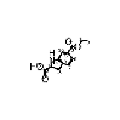 CCOC(=O)c1ccc2c(c1)NC(C(=O)O)C2